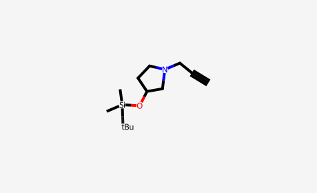 C#CCN1CCC(O[Si](C)(C)C(C)(C)C)C1